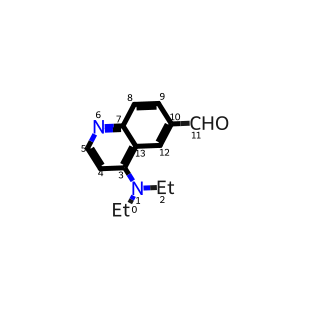 CCN(CC)c1ccnc2ccc(C=O)cc12